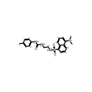 Cc1ccc(NC(=O)NCCNS(=O)(=O)c2cccc3c(N(C)C)cccc23)cc1